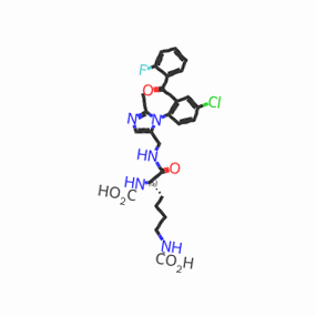 Cc1ncc(CNC(=O)[C@H](CCCCNC(=O)O)NC(=O)O)n1-c1ccc(Cl)cc1C(=O)c1ccccc1F